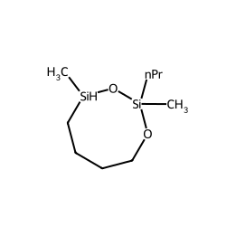 CCC[Si]1(C)OCCCC[SiH](C)O1